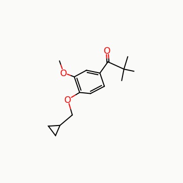 COc1cc(C(=O)C(C)(C)C)ccc1OCC1CC1